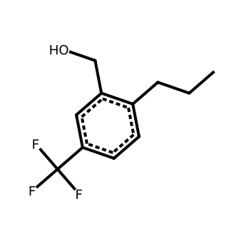 CCCc1ccc(C(F)(F)F)cc1CO